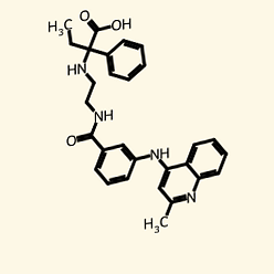 CCC(NCCNC(=O)c1cccc(Nc2cc(C)nc3ccccc23)c1)(C(=O)O)c1ccccc1